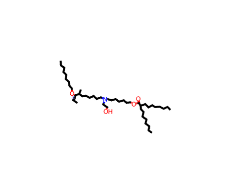 C/C=C(/OCCCCCCCCC)C(C)CCCCCCN(CCO)CCCCCCCOC(=O)C(CCCCCCCC)CCCCCCCC